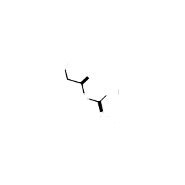 C=C(C)OC(=O)CC